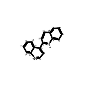 c1ccc2nc(-c3ccnc4ccccc34)ccc2c1